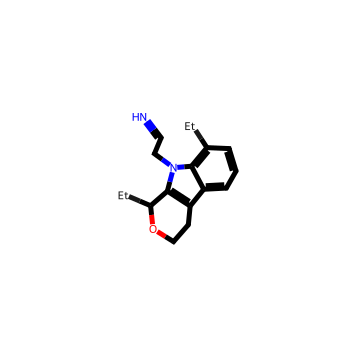 CCc1cccc2c3c(n(CC=N)c12)C(CC)OCC3